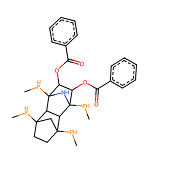 CPC12CCC(PC)(C1)C1C2C2(PC)NC1(PC)C(OC(=O)c1ccccc1)C2OC(=O)c1ccccc1